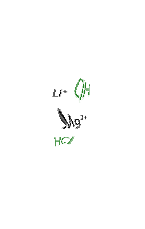 Cl.Cl.[Li+].[Mg+2]